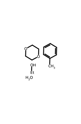 C1COCCO1.CCO.Cc1ccccc1.O